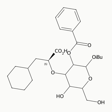 CC(C)COC1OC(CO)C(O)C(O[C@@H](CC2CCCCC2)C(=O)O)C1OC(=O)c1ccccc1